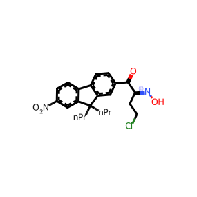 CCCC1(CCC)c2cc(C(=O)/C(CCCl)=N/O)ccc2-c2ccc([N+](=O)[O-])cc21